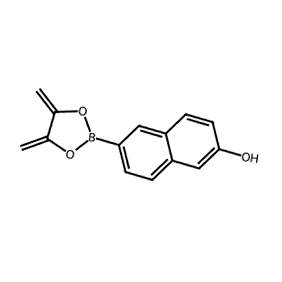 C=C1OB(c2ccc3cc(O)ccc3c2)OC1=C